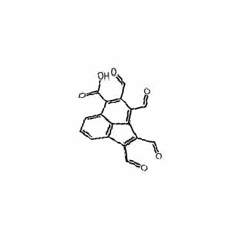 O=CC1=C(C=O)c2c(C=O)c(C=O)c(C(=O)O)c3cccc1c23